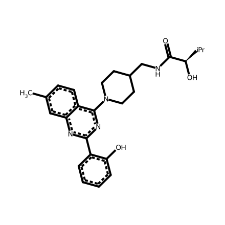 Cc1ccc2c(N3CCC(CNC(=O)[C@H](O)C(C)C)CC3)nc(-c3ccccc3O)nc2c1